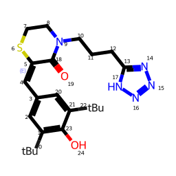 CC(C)(C)c1cc(/C=C2/SCCN(CCCc3nnn[nH]3)C2=O)cc(C(C)(C)C)c1O